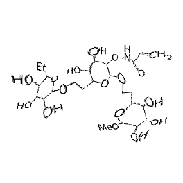 C=CC(=O)NCOC1C(OCCC2OC(OC)C(O)C(O)C2O)OC(CCOC2OC(CC)C(O)C(O)C2O)C(O)C1O